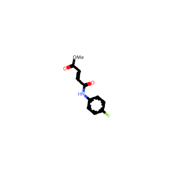 COC(=O)/C=C/C(=O)Nc1ccc(F)cc1